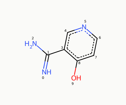 N=C(N)c1cnccc1O